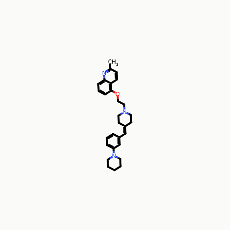 Cc1ccc2c(OCCN3CCC(=Cc4cccc(N5CCCCC5)c4)CC3)cccc2n1